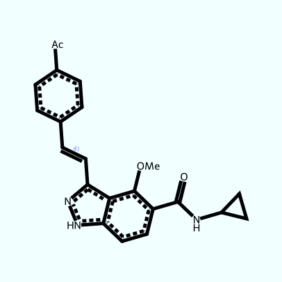 COc1c(C(=O)NC2CC2)ccc2[nH]nc(/C=C/c3ccc(C(C)=O)cc3)c12